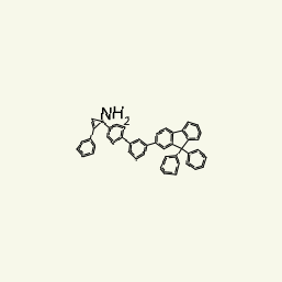 NC1(c2ccc(-c3cccc(-c4ccc5c(c4)C(c4ccccc4)(c4ccccc4)c4ccccc4-5)c3)cc2)C=C1c1ccccc1